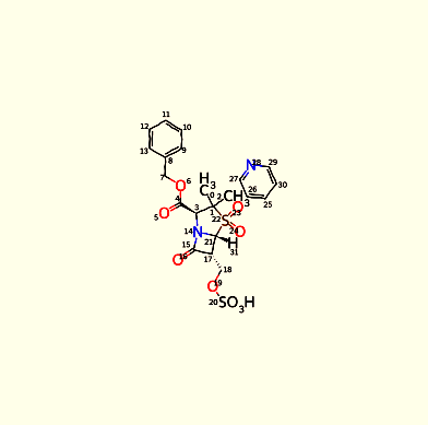 CC1(C)[C@H](C(=O)OCc2ccccc2)N2C(=O)[C@@H](COS(=O)(=O)O)[C@H]2S1(=O)=O.c1ccncc1